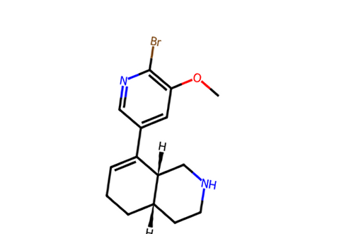 COc1cc(C2=CCC[C@H]3CCNC[C@@H]23)cnc1Br